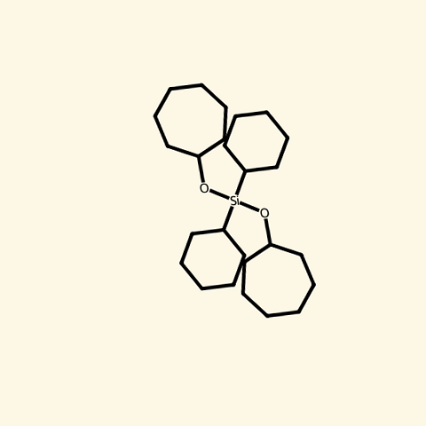 C1CCCC(O[Si](OC2CCCCCC2)(C2CCCCC2)C2CCCCC2)CC1